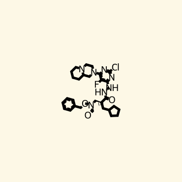 O=CN(C[C@H](CC1CCCC1)C(=O)NNc1nc(Cl)nc(N2CCN3CCCCC3C2)c1F)OCc1ccccc1